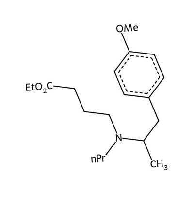 CCCN(CCCC(=O)OCC)C(C)Cc1ccc(OC)cc1